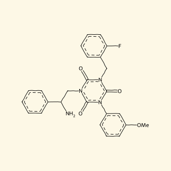 COc1cccc(-n2c(=O)n(Cc3ccccc3F)c(=O)n(CC(N)c3ccccc3)c2=O)c1